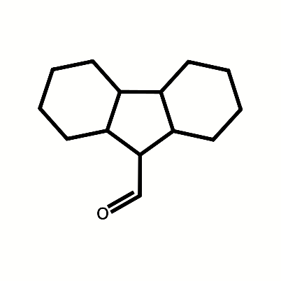 O=CC1C2CCCCC2C2CCCCC12